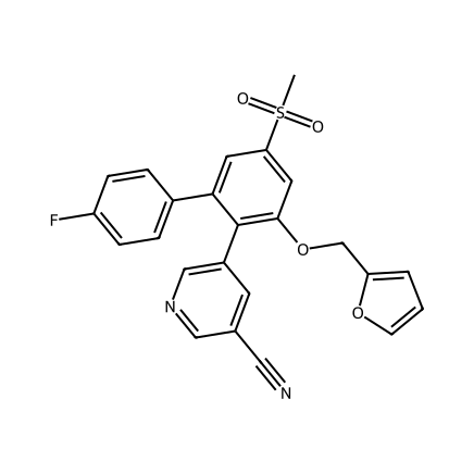 CS(=O)(=O)c1cc(OCc2ccco2)c(-c2cncc(C#N)c2)c(-c2ccc(F)cc2)c1